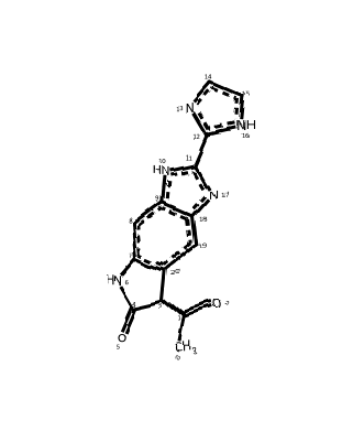 CC(=O)C1C(=O)Nc2cc3[nH]c(-c4ncc[nH]4)nc3cc21